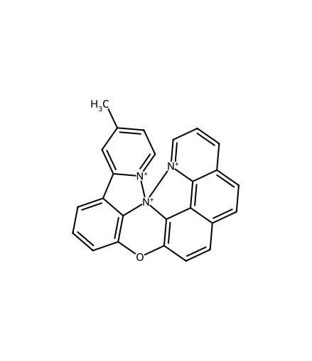 Cc1cc[n+]2c(c1)-c1cccc3c1[N+]21c2c(ccc4ccc5ccc[n+]1c5c24)O3